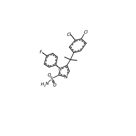 CC(C)(c1ccc(Cl)c(Cl)c1)c1cnc(S(N)(=O)=O)n1-c1ccc(F)cc1